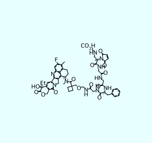 CC[C@@]1(O)C(=O)OCc2c1cc1n(c2=O)Cc2c-1nc1cc(F)c(C)c3c1c2[C@@H](N(C)C(=O)C1(COCNC(=O)CNC(=O)[C@H](Cc2ccccc2)NC(=O)CNC(=O)CNC(=O)[C@@H](CNCC(=O)O)N2C(=O)C=CC2=O)CCC1)CC3